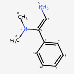 CN(C)C(=CN)c1ccccc1